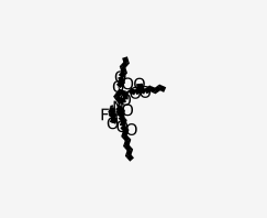 CCCCCCC(=O)OCn1c(=O)c(F)cn([C@H]2C[C@H](OC(=O)OCCCC)[C@@H](COC(=O)OCCCC)O2)c1=O